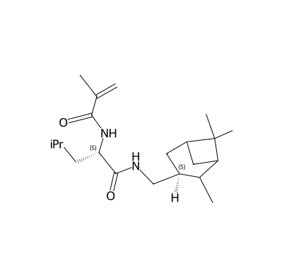 C=C(C)C(=O)N[C@@H](CC(C)C)C(=O)NC[C@H]1CC2CC(C1C)C2(C)C